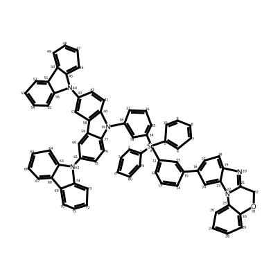 c1ccc([Si](c2ccccc2)(c2cccc(-c3ccc4nc5n(c4c3)-c3ccccc3OC5)c2)c2cccc(-n3c4ccc(-n5c6ccccc6c6ccccc65)cc4c4cc(-n5c6ccccc6c6ccccc65)ccc43)c2)cc1